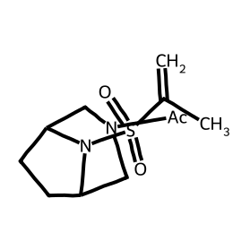 C=C(C)S(=O)(=O)N1C2CCC1CN(C(C)=O)C2